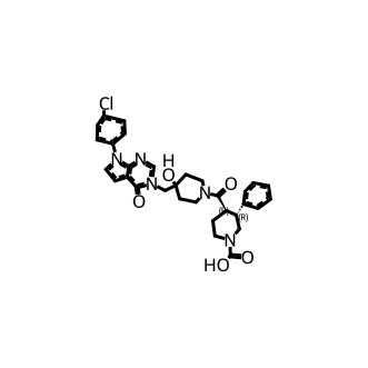 O=C(O)N1CC[C@@H](C(=O)N2CCC(O)(Cn3cnc4c(ccn4-c4ccc(Cl)cc4)c3=O)CC2)[C@H](c2ccccc2)C1